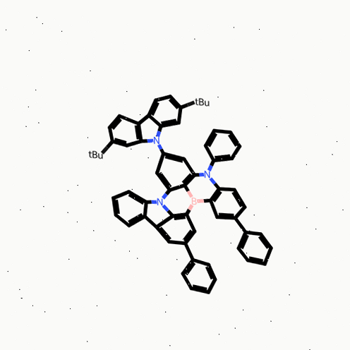 CC(C)(C)c1ccc2c3ccc(C(C)(C)C)cc3n(-c3cc4c5c(c3)-n3c6ccccc6c6cc(-c7ccccc7)cc(c63)B5c3cc(-c5ccccc5)ccc3N4c3ccccc3)c2c1